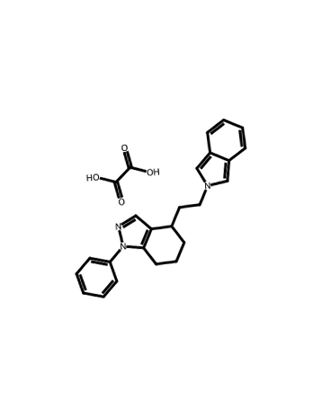 O=C(O)C(=O)O.c1ccc(-n2ncc3c2CCCC3CCn2cc3ccccc3c2)cc1